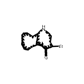 CCc1c[nH]c2ccccc2c1=O